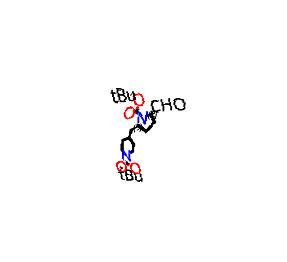 CC(C)(C)OC(=O)N1CCC(C[C@@H]2CC[C@H](C=O)N2C(=O)OC(C)(C)C)CC1